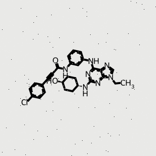 CCn1cnc2c(Nc3cccc(NC(=O)C#Cc4ccc(Cl)cc4)c3)nc(N[C@H]3CC[C@H](O)CC3)nc21